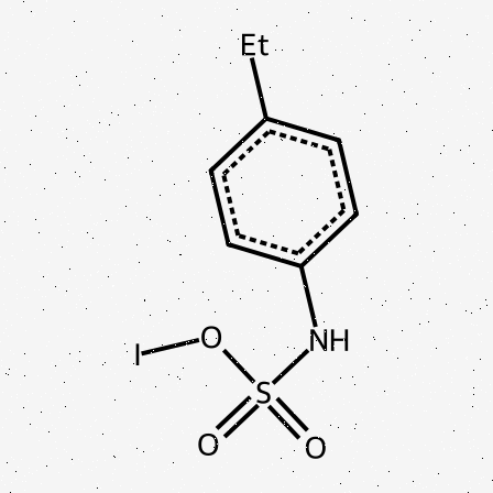 CCc1ccc(NS(=O)(=O)OI)cc1